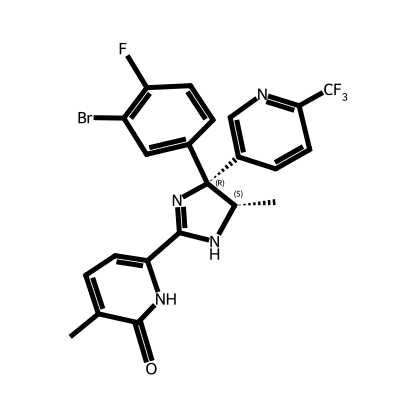 Cc1ccc(C2=N[C@@](c3ccc(C(F)(F)F)nc3)(c3ccc(F)c(Br)c3)[C@H](C)N2)[nH]c1=O